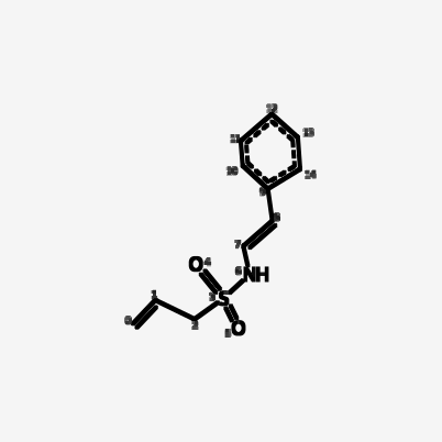 C=CCS(=O)(=O)NC=Cc1ccccc1